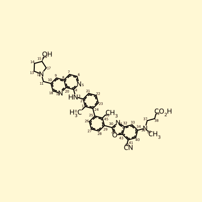 Cc1c(Nc2nccc3cc(CN4CC[C@@H](O)C4)cnc23)cccc1-c1cccc(-c2nc3cc(N(C)CCC(=O)O)cc(C#N)c3o2)c1C